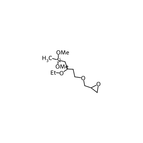 CCOC(CCOCC1CO1)C[Si](C)(OC)OC